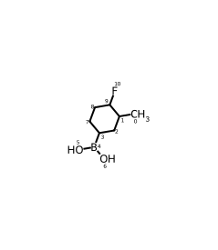 CC1CC(B(O)O)CCC1F